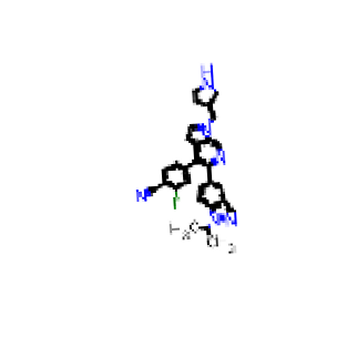 CC(C)n1ncc2cc(-c3ncc4c(ccn4CC4CCNC4)c3-c3ccc(C#N)c(F)c3)ccc21